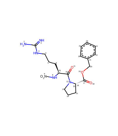 N=C(N)NCCC[C@H](N[N+](=O)[O-])C(=O)N1CCC[C@H]1C(=O)OCc1ccccc1